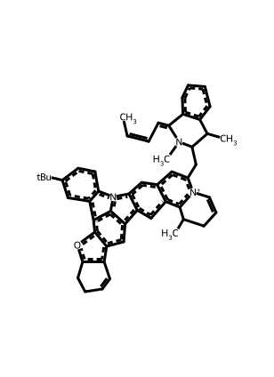 C/C=C\C=C1\c2ccccc2C(C)C(Cc2cc3cc4c(cc3c3[n+]2C=CCC3C)c2cc3c5c(oc3c3c6cc(C(C)(C)C)ccc6n4c23)CCC=C5)N1C